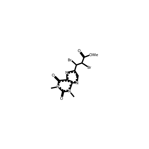 COC(=O)C(Br)C(Br)c1cnc2c(n1)c(=O)n(C)c(=O)n2C